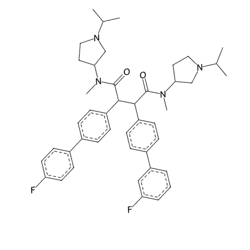 CC(C)N1CCC(N(C)C(=O)C(c2ccc(-c3ccc(F)cc3)cc2)C(C(=O)N(C)C2CCN(C(C)C)C2)c2ccc(-c3cccc(F)c3)cc2)C1